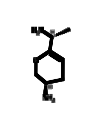 C[C@@H](N)C1=CC[C@@H](N)CO1